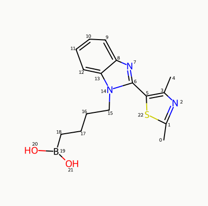 Cc1nc(C)c(-c2nc3ccccc3n2CCCCB(O)O)s1